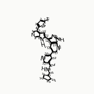 Fc1ccc(-c2cncc3[nH]c(-c4n[nH]c5ncc(-c6cncc(CNCC7CCCC7)c6)cc45)cc23)s1